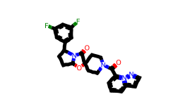 O=C(c1cccc2ccnn12)N1CCC2(CC1)OC1CCC(c3cc(F)cc(F)c3)N1C2=O